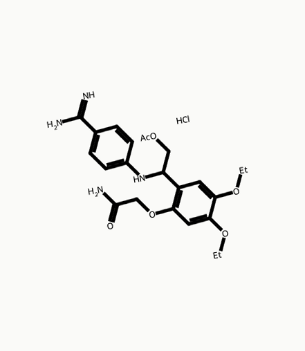 CCOc1cc(OCC(N)=O)c(C(COC(C)=O)Nc2ccc(C(=N)N)cc2)cc1OCC.Cl